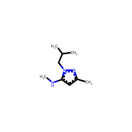 CNc1cc(C)nn1CC(C)C